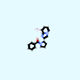 Bc1cccn2cc([C@@H]3CCCN3C(=O)c3ccccc3)nc12